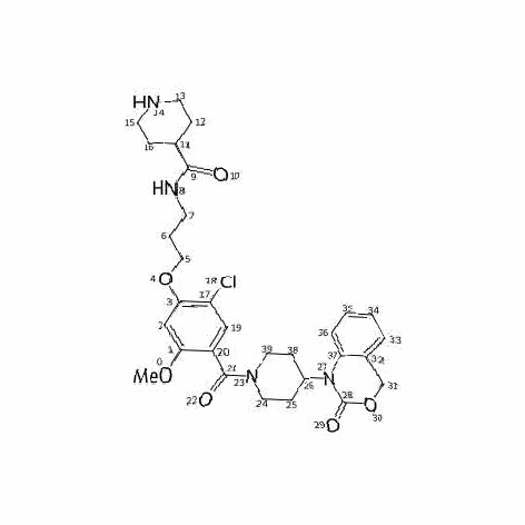 COc1cc(OCCCNC(=O)C2CCNCC2)c(Cl)cc1C(=O)N1CCC(N2C(=O)OCc3ccccc32)CC1